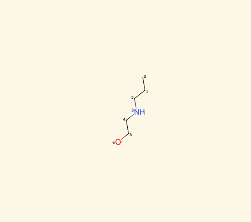 CCCNCC[O]